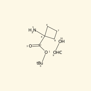 CC(C)(C)OC(=O)C1(N)CCC1.O=CO